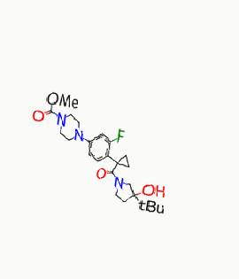 COC(=O)N1CCN(c2ccc(C3(C(=O)N4CCC(O)(C(C)(C)C)C4)CC3)c(F)c2)CC1